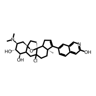 CN(C)[C@H]1C[C@@]23CC[C@]4(O2)C2CC=C(c5ccc6cc(O)ncc6c5)[C@@]2(C)CCC4(Cl)CC3[C@@H](O)[C@@H]1O